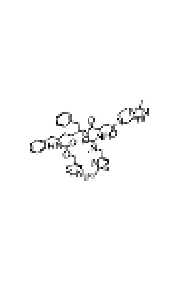 Cc1nnc2n1CCN(C(=O)CC(NC(=O)N(C)Cc1csc(C(C)C)n1)C(=O)NC(CCC(Cc1ccccc1)NC(=O)OCc1cncs1)Cc1ccccc1)C2